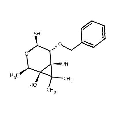 C[C@H]1O[C@@H](S)[C@H](OCc2ccccc2)[C@]2(O)C(C)(C)[C@]12O